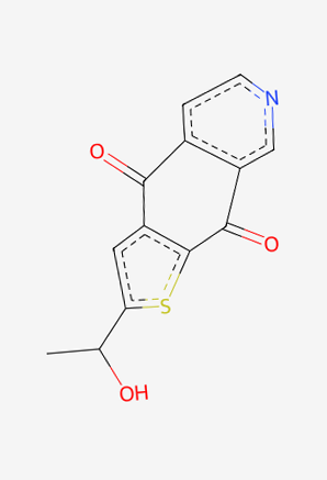 CC(O)c1cc2c(s1)C(=O)c1cnccc1C2=O